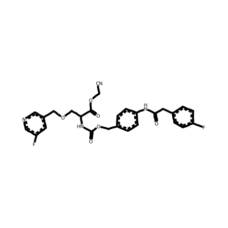 N#CCOC(=O)C(COCc1cncc(F)c1)NC(=O)OCc1ccc(NC(=O)Cc2ccc(F)cc2)cc1